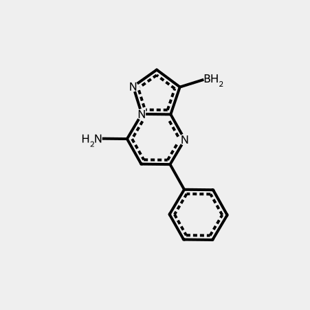 Bc1cnn2c(N)cc(-c3ccccc3)nc12